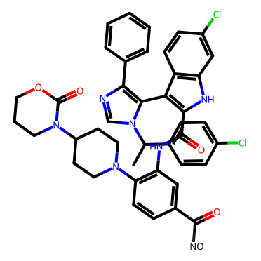 CC(c1ccc(Cl)cc1)n1cnc(-c2ccccc2)c1-c1c(C(=O)Nc2cc(C(=O)N=O)ccc2N2CCC(N3CCCOC3=O)CC2)[nH]c2cc(Cl)ccc12